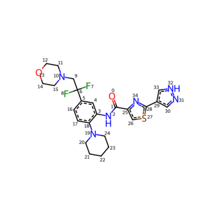 O=C(Nc1cc(C(F)(F)CN2CCOCC2)ccc1N1CCCCC1)c1csc(-c2cn[nH]c2)n1